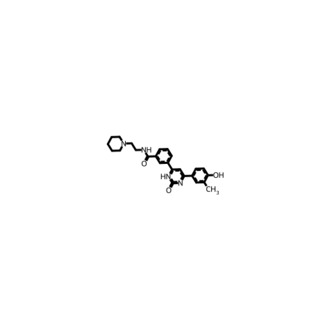 Cc1cc(-c2cc(-c3cccc(C(=O)NCCN4CCCCC4)c3)[nH]c(=O)n2)ccc1O